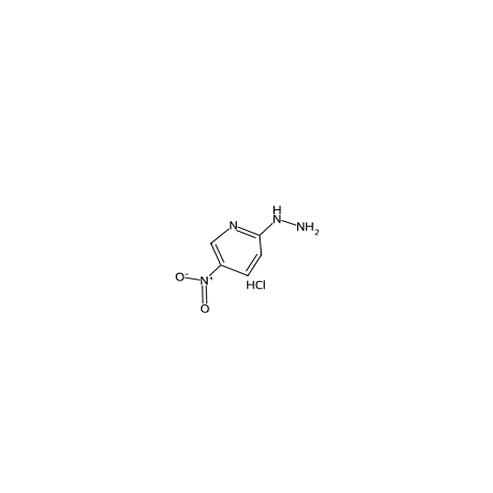 Cl.NNc1ccc([N+](=O)[O-])cn1